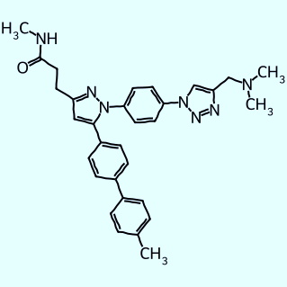 CNC(=O)CCc1cc(-c2ccc(-c3ccc(C)cc3)cc2)n(-c2ccc(-n3cc(CN(C)C)nn3)cc2)n1